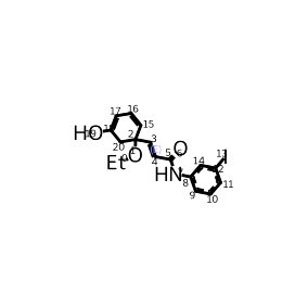 CCOC1(/C=C/C(=O)Nc2cccc(I)c2)C=CC=C(O)C1